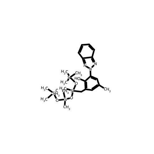 Cc1cc(C[Si](C)(O[Si](C)(C)C)O[Si](C)(C)O[Si](C)(C)C)c(O)c(-n2nc3ccccc3n2)c1